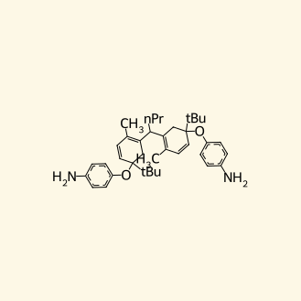 CCCC(C1=C(C)C=CC(Oc2ccc(N)cc2)(C(C)(C)C)C1)C1=C(C)C=CC(Oc2ccc(N)cc2)(C(C)(C)C)C1